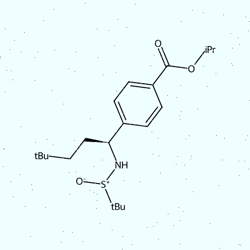 CC(C)OC(=O)c1ccc([C@H](CCC(C)(C)C)N[S+]([O-])C(C)(C)C)cc1